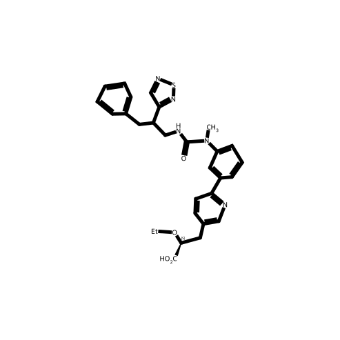 CCO[C@@H](Cc1ccc(-c2cccc(N(C)C(=O)NCC(Cc3ccccc3)c3cnsn3)c2)nc1)C(=O)O